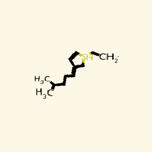 [CH2]C[SH]1C=CC(=CCCC(C)C)C1